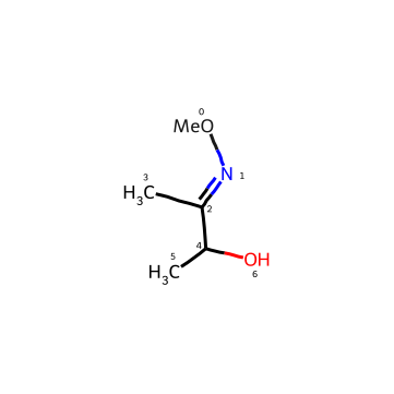 CO/N=C(\C)C(C)O